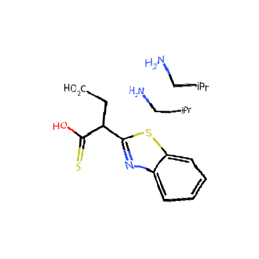 CC(C)CN.CC(C)CN.O=C(O)CC(C(O)=S)c1nc2ccccc2s1